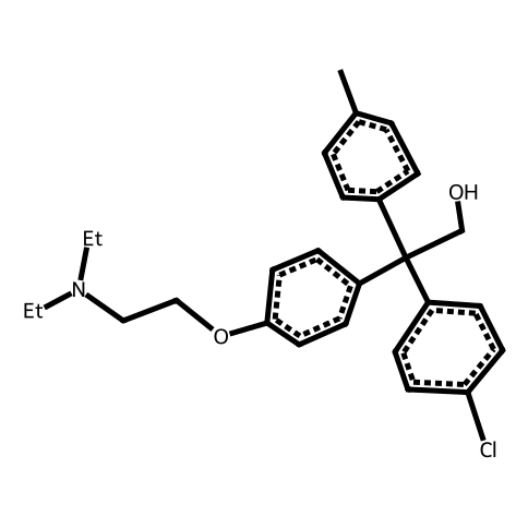 CCN(CC)CCOc1ccc(C(CO)(c2ccc(C)cc2)c2ccc(Cl)cc2)cc1